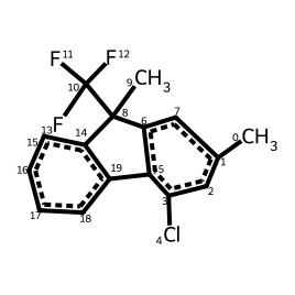 Cc1cc(Cl)c2c(c1)C(C)(C(F)(F)F)c1ccccc1-2